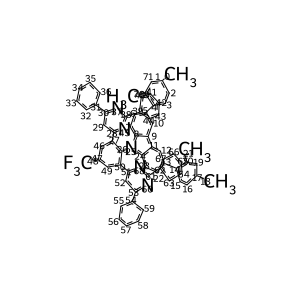 Cc1ccc(-c2ccc3c(c2)c2cc(-c4ccc(C)cc4C)ccc2n3-c2c(-c3cc(-c4ccccc4)nc(-c4ccccc4)n3)cc(C(F)(F)F)cc2-c2cc(-c3ccccc3)nc(-c3ccccc3)n2)c(C)c1